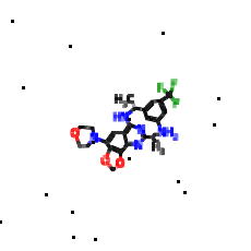 Cc1nc(N[C@H](C)c2cc(N)cc(C(F)(F)F)c2)c2cc(N3CCOCC3)c3c(c2n1)OCO3